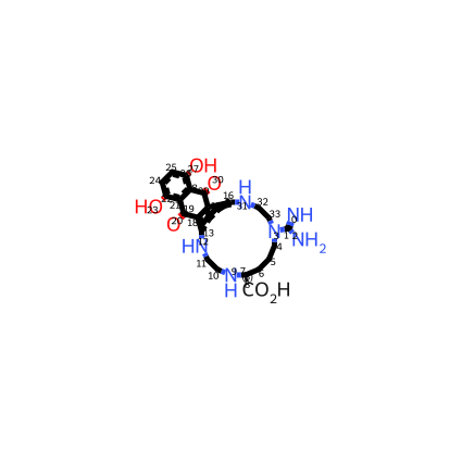 N=C(N)N1CCC[C@@H](C(=O)O)NCCNc2ccc(c3c2C(=O)c2c(O)ccc(O)c2C3=O)NCC1